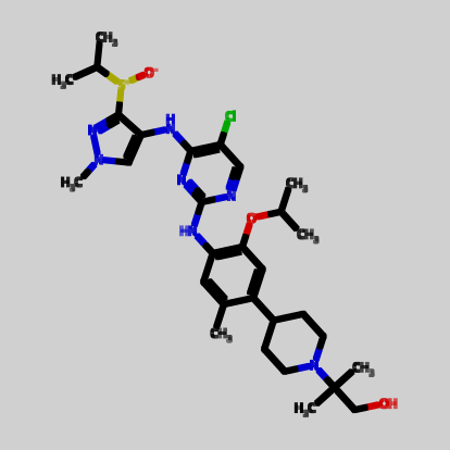 Cc1cc(Nc2ncc(Cl)c(Nc3cn(C)nc3[S+]([O-])C(C)C)n2)c(OC(C)C)cc1C1CCN(C(C)(C)CO)CC1